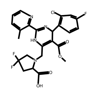 COC(=O)C1=C(CN2CC(F)(F)CC2C(=O)O)NC(c2ncccc2C)=NC1c1ccc(F)cc1Cl